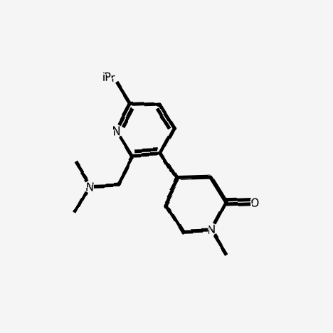 CC(C)c1ccc(C2CCN(C)C(=O)C2)c(CN(C)C)n1